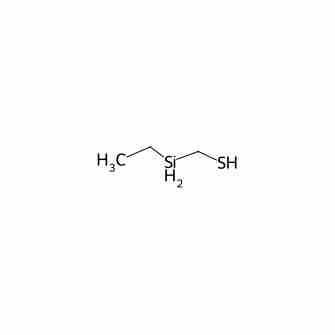 CC[SiH2]CS